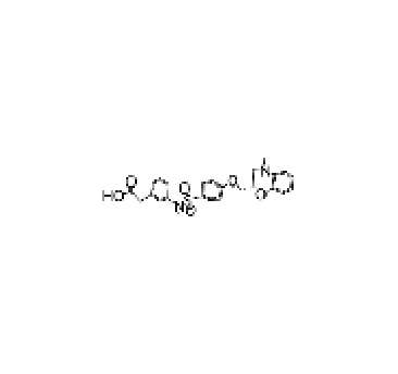 CN1C[C@@H](COc2ccc(S(=O)(=O)N(C)c3cccc(CC(=O)O)c3)cc2)Oc2ccccc21